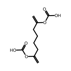 C=C(CCCCC(=C)OC(=O)O)OC(=O)O